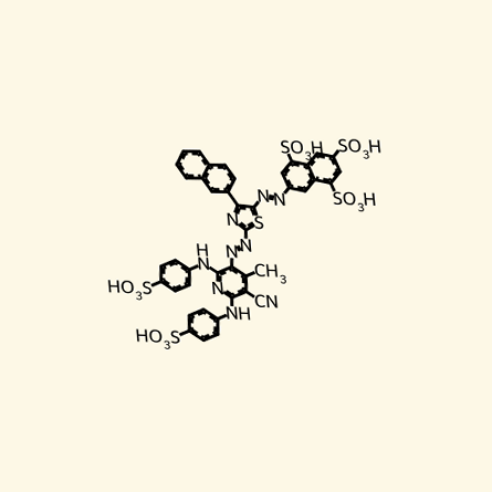 Cc1c(C#N)c(Nc2ccc(S(=O)(=O)O)cc2)nc(Nc2ccc(S(=O)(=O)O)cc2)c1N=Nc1nc(-c2ccc3ccccc3c2)c(/N=N/c2cc(S(=O)(=O)O)c3cc(S(=O)(=O)O)cc(S(=O)(=O)O)c3c2)s1